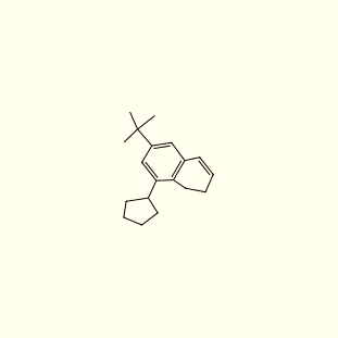 CC(C)(C)c1cc2c(c(C3CCCC3)c1)CCC=C2